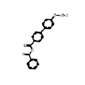 CCCCCCCCOc1ccc(-c2ccc(C(=O)OC(=O)c3ccccc3)cc2)cc1